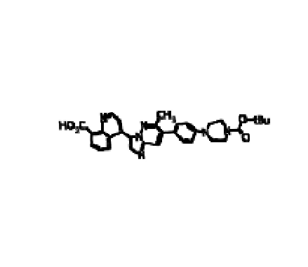 Cc1nn2c(-c3ccnc4c(C(=O)O)cccc34)cnc2cc1-c1ccc(N2CCN(C(=O)OC(C)(C)C)CC2)cc1